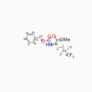 COC(=O)[C@H](CCC(F)(F)C(F)(F)F)NC(=O)OCc1ccccc1